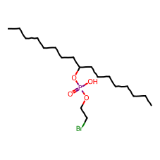 CCCCCCCCC(CCCCCCCC)OP(=O)(O)OCCBr